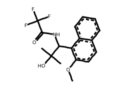 COc1ccc2ccccc2c1C(NC(=O)C(F)(F)F)C(C)(C)O